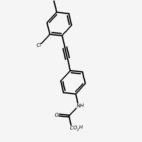 Cc1ccc(C#Cc2ccc(NC(=O)C(=O)O)cc2)c(Cl)c1